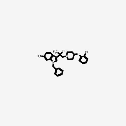 O=[N+]([O-])c1ccc2c(C(O)(CN3CCC(Oc4ccccc4O)CC3)C(F)(F)F)cn(Cc3ccccc3)c2c1